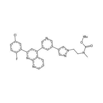 CN(CCn1cc(-c2cncc(-c3cc(-c4cc(Cl)ccc4F)nc4ncccc34)c2)cn1)C(=O)OC(C)(C)C